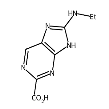 CCNc1nc2cnc(C(=O)O)nc2[nH]1